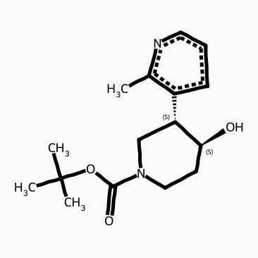 Cc1ncccc1[C@H]1CN(C(=O)OC(C)(C)C)CC[C@@H]1O